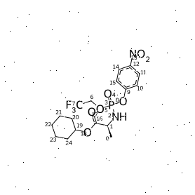 C[C@H](NP(=O)(OCC(F)(F)F)Oc1ccc([N+](=O)[O-])cc1)C(=O)OC1CCCCC1